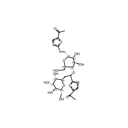 CC(=O)c1cnc(SC[C@H]2O[C@H](CO)[C@@H](OC(C[C@H]3O[C@H](CO)[C@@H](O)[C@H](O)[C@@H]3O)c3ncc(C(C)=O)s3)[C@H](O)[C@@H]2O)s1